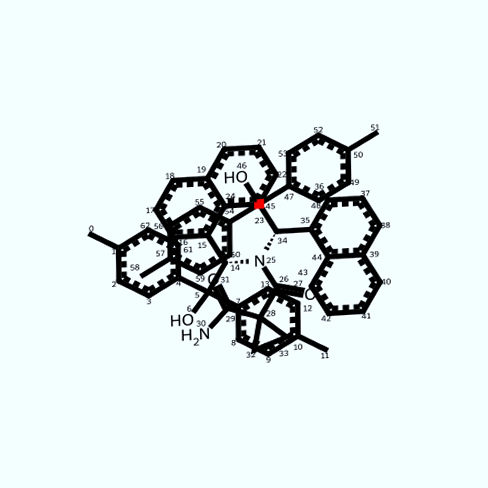 Cc1ccc(C(O)(c2ccc(C)cc2)[C@H](c2cccc3ccccc23)N(C(=O)C2(C(N)=O)CC2)[C@@H](c2cccc3ccccc23)C(O)(c2ccc(C)cc2)c2ccc(C)cc2)cc1